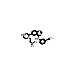 C#Cc1cccc(Nc2ncnc3ccc(C4CNCCN4CCN(CC)CC)cc23)c1